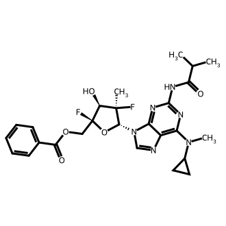 CC(C)C(=O)Nc1nc(N(C)C2CC2)c2ncn([C@@H]3O[C@](F)(COC(=O)c4ccccc4)[C@@H](O)[C@@]3(C)F)c2n1